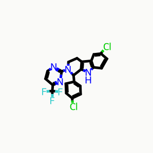 FC(F)(F)c1ccnc(N2CCc3c([nH]c4ccc(Cl)cc34)C2c2ccc(Cl)cc2)n1